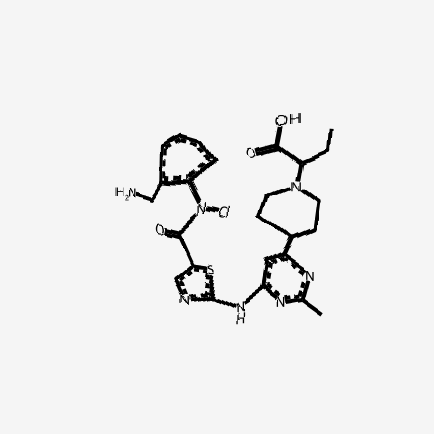 CCC(C(=O)O)N1CCC(c2cc(Nc3ncc(C(=O)N(Cl)c4ccccc4CN)s3)nc(C)n2)CC1